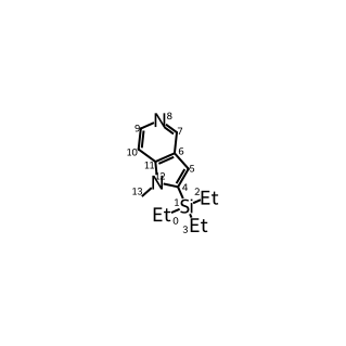 CC[Si](CC)(CC)c1cc2cnccc2n1C